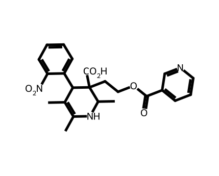 CC1=C(C)C(c2ccccc2[N+](=O)[O-])C(CCOC(=O)c2cccnc2)(C(=O)O)C(C)N1